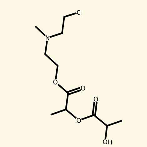 CC(O)C(=O)OC(C)C(=O)OCCN(C)CCCl